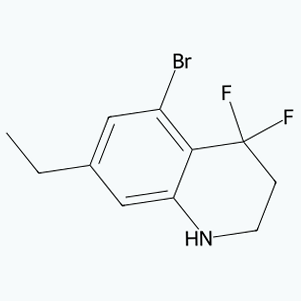 CCc1cc(Br)c2c(c1)NCCC2(F)F